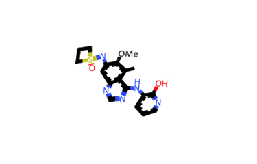 COc1c(N=S2(=O)CCC2)cc2ncnc(Nc3cccnc3O)c2c1C